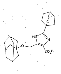 O=C(O)c1nc(C23CCC(CC2)CC3)[nH]c1COC12CC3CC(CC(C3)C1)C2